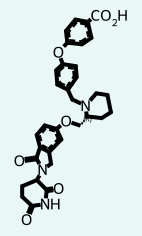 O=C1CCC(N2Cc3cc(OC[C@H]4CCCCN4Cc4ccc(Oc5ccc(C(=O)O)cc5)cc4)ccc3C2=O)C(=O)N1